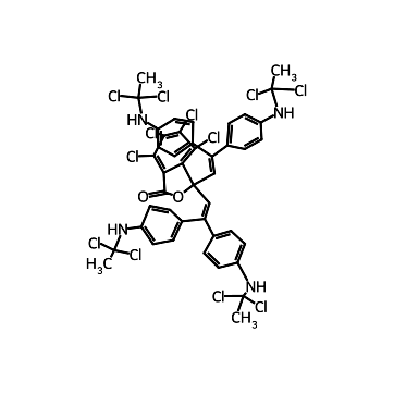 CC(Cl)(Cl)Nc1ccc(C(=CC2(C=C(c3ccc(NC(C)(Cl)Cl)cc3)c3ccc(NC(C)(Cl)Cl)cc3)OC(=O)c3c(Cl)c(Cl)c(Cl)c(Cl)c32)c2ccc(NC(C)(Cl)Cl)cc2)cc1